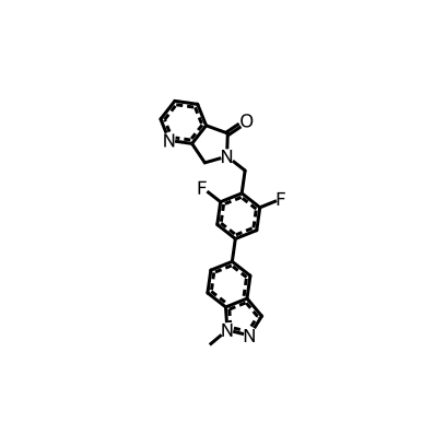 Cn1ncc2cc(-c3cc(F)c(CN4Cc5ncccc5C4=O)c(F)c3)ccc21